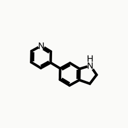 c1cncc(-c2ccc3c(c2)NCC3)c1